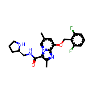 Cc1cc(OCc2c(F)cccc2F)c2nc(C)c(C(=O)NC[C@H]3CCCN3)n2c1